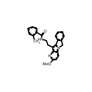 COc1ccc2c(n1)c(CCNC(=O)c1ccccc1C)c1n2Cc2ccccc2-1